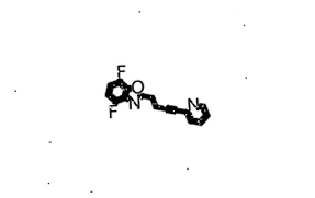 Fc1ccc(F)c2oc(CCC#Cc3ccccn3)nc12